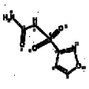 NC(=O)NS(=O)(=O)c1ccon1